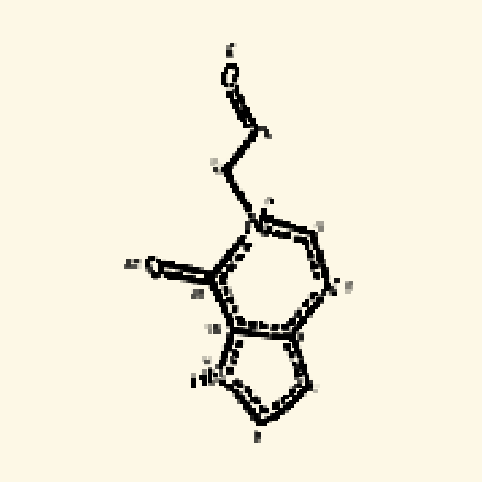 O=CCn1cnc2cc[nH]c2c1=O